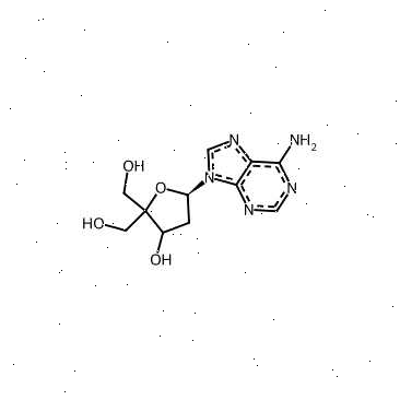 Nc1ncnc2c1ncn2[C@H]1CC(O)C(CO)(CO)O1